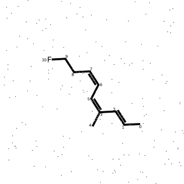 C/C=C/C(C)=C\C=C/CCF